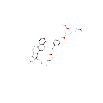 CCCC1O[C@@H]2C[C@H]3[C@@H]4CCC5=CC(=O)C=C[C@]5(C)[C@H]4[C@@H](O)C[C@]3(C)[C@]2(C(=O)COC(=O)N(C)CCN(C)C(=O)OCc2ccc(NC(=O)[C@H](CCCNC(N)=O)NC(=O)[C@@H](N)C(C)C)cc2)O1